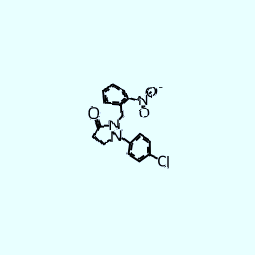 O=C1CCN(c2ccc(Cl)cc2)N1Cc1ccccc1[N+](=O)[O-]